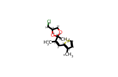 CC(=Cc1sccc1C)C1(C)OCC(CCl)O1